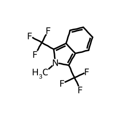 Cn1c(C(F)(F)F)c2ccccc2c1C(F)(F)F